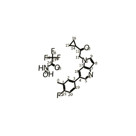 Cc1cc(-c2cnc3ccn(CC(=O)C4CC4)c3c2)ccc1F.O=C(NO)C(F)(F)F